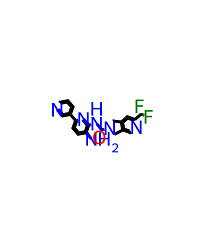 Nc1ccc(-c2cccnc2)nc1NC(=O)N1Cc2cnc(C(F)F)cc2C1